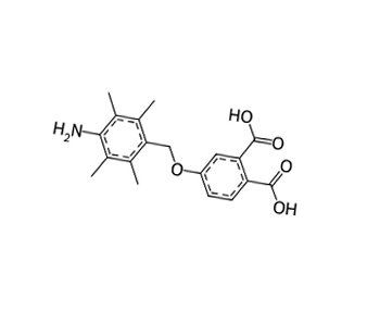 Cc1c(C)c(COc2ccc(C(=O)O)c(C(=O)O)c2)c(C)c(C)c1N